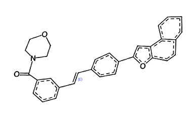 O=C(c1cccc(/C=C/c2ccc(-c3cc4c(ccc5ccccc54)o3)cc2)c1)N1CCOCC1